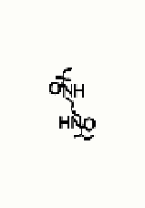 CCC(C)C(=O)NCCCCNC(=O)C(C)(C)CC